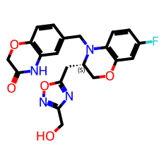 O=C1COc2ccc(CN3c4ccc(F)cc4OC[C@@H]3Cc3nc(CO)no3)cc2N1